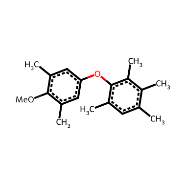 COc1c(C)cc(Oc2c(C)cc(C)c(C)c2C)cc1C